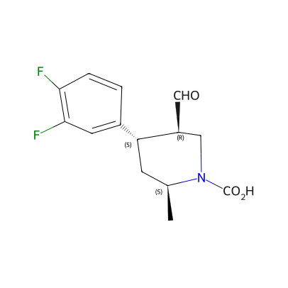 C[C@H]1C[C@H](c2ccc(F)c(F)c2)[C@@H](C=O)CN1C(=O)O